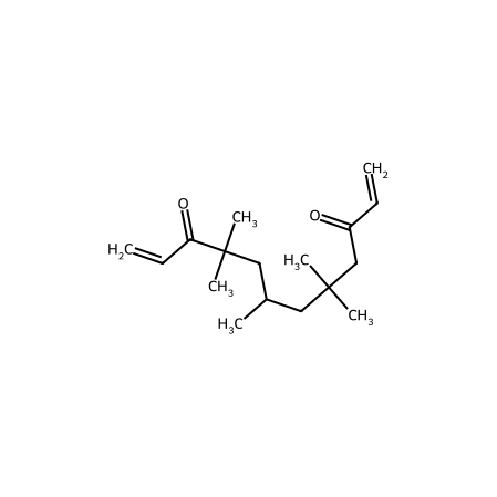 C=CC(=O)CC(C)(C)CC(C)CC(C)(C)C(=O)C=C